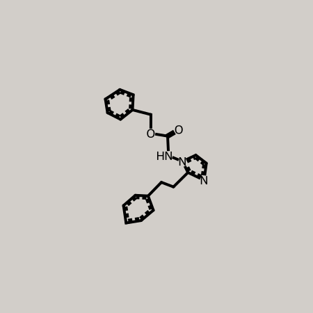 O=C(Nn1ccnc1CCc1ccccc1)OCc1ccccc1